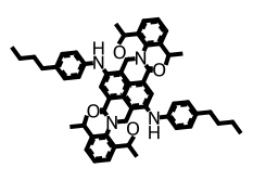 CCCCc1ccc(Nc2cc3c4c(c(Nc5ccc(CCCC)cc5)cc5c4c2C(=O)N(c2c(C(C)C)cccc2C(C)C)C5=O)C(=O)N(c2c(C(C)C)cccc2C(C)C)C3=O)cc1